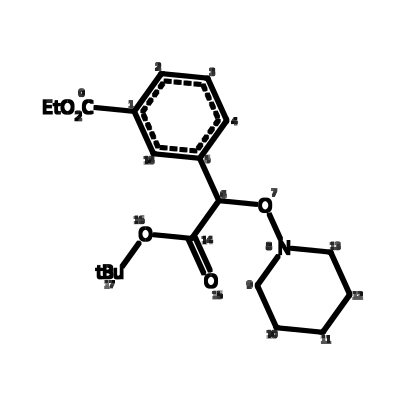 CCOC(=O)c1cccc(C(ON2CCCCC2)C(=O)OC(C)(C)C)c1